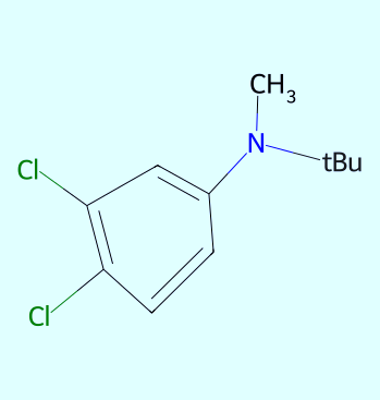 CN(c1ccc(Cl)c(Cl)c1)C(C)(C)C